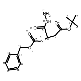 CC(C)(C)OC(=O)CC(NC(=O)OCc1ccccc1)C(=O)NN